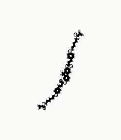 C=C(C)C(=O)OCCCCCCOc1ccc(C=CC(=O)Oc2ccc3c(c2)C(C)(C)c2cc(OC(=O)C=Cc4ccc(OCCCCCCOC(=O)C(=C)C)cc4)ccc2-3)cc1